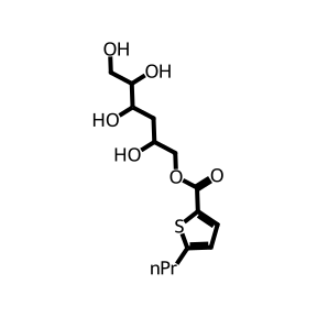 CCCc1ccc(C(=O)OCC(O)CC(O)C(O)CO)s1